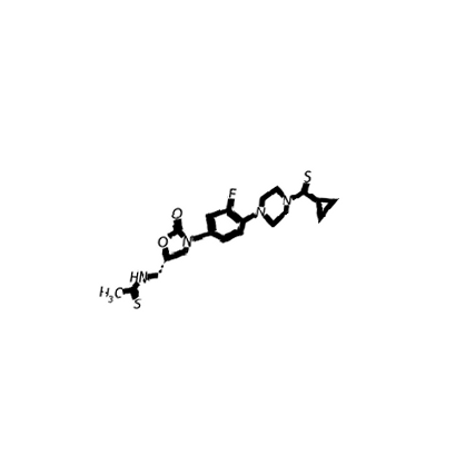 CC(=S)NC[C@H]1CN(c2ccc(N3CCN(C(=S)C4CC4)CC3)c(F)c2)C(=O)O1